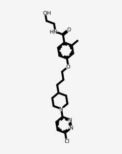 Cc1cc(OCCCC2CCN(c3ccc(Cl)nn3)CC2)ccc1C(=O)NCCO